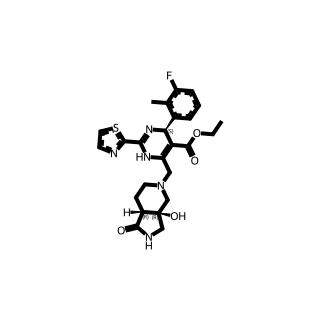 CCOC(=O)C1=C(CN2CC[C@H]3C(=O)NC[C@@]3(O)C2)NC(c2nccs2)=N[C@H]1c1cccc(F)c1C